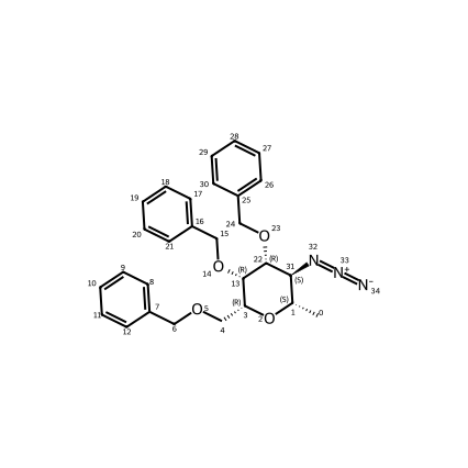 C[C@@H]1O[C@H](COCc2ccccc2)[C@H](OCc2ccccc2)[C@H](OCc2ccccc2)[C@H]1N=[N+]=[N-]